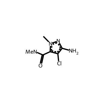 CNC(=O)c1c(Cl)c(N)nn1C